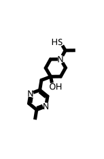 Cc1cnc(CC2(O)CCN(C(C)S)CC2)cn1